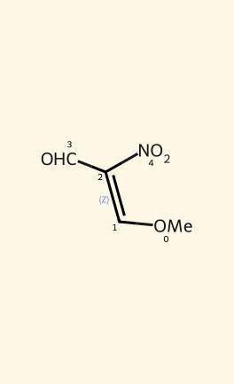 CO/C=C(/C=O)[N+](=O)[O-]